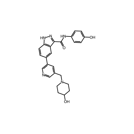 O=C(Nc1ccc(O)cc1)c1n[nH]c2ccc(-c3cncc(CN4CCC(O)CC4)c3)cc12